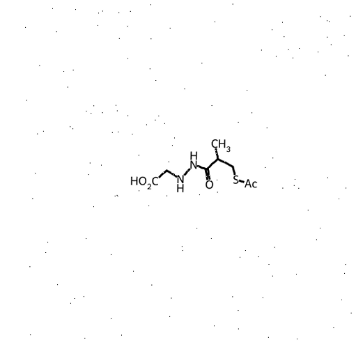 CC(=O)SCC(C)C(=O)NNCC(=O)O